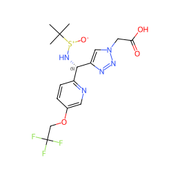 CC(C)(C)[S+]([O-])N[C@@H](c1ccc(OCC(F)(F)F)cn1)c1cn(CC(=O)O)nn1